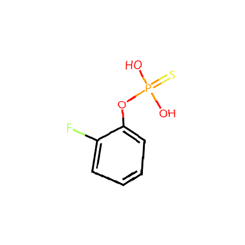 OP(O)(=S)Oc1ccccc1F